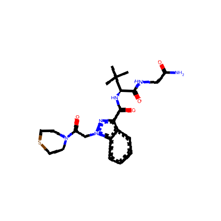 CC(C)(C)[C@H](NC(=O)c1nn(CC(=O)N2CCSCC2)c2ccccc12)C(=O)NCC(N)=O